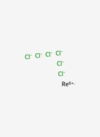 [Cl-].[Cl-].[Cl-].[Cl-].[Cl-].[Cl-].[Re+6]